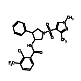 Cn1cc(S(=O)(=O)N2CC(NC(=O)c3cccc(C(F)(F)F)c3Cl)C(c3ccccc3)C2)c(C(F)(F)F)n1